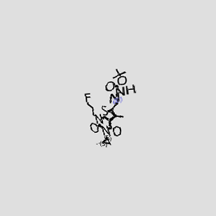 Cc1c(/C=N/NC(=O)OC(C)(C)C)sc2c1c(=O)n([C@H]1C[C@@H]1C)c(=O)n2CCCF